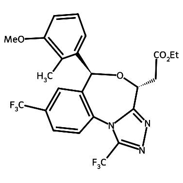 CCOC(=O)C[C@H]1O[C@H](c2cccc(OC)c2C)c2cc(C(F)(F)F)ccc2-n2c1nnc2C(F)(F)F